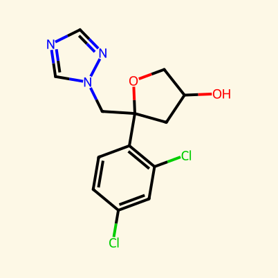 OC1COC(Cn2cncn2)(c2ccc(Cl)cc2Cl)C1